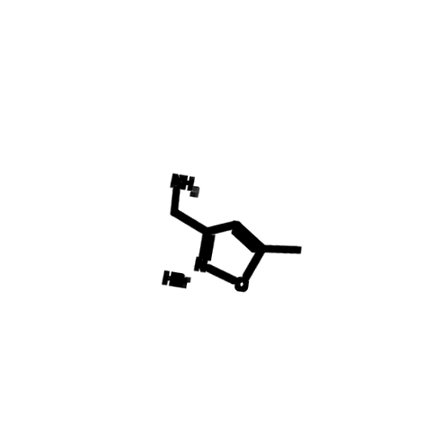 Br.Cc1cc(CN)no1